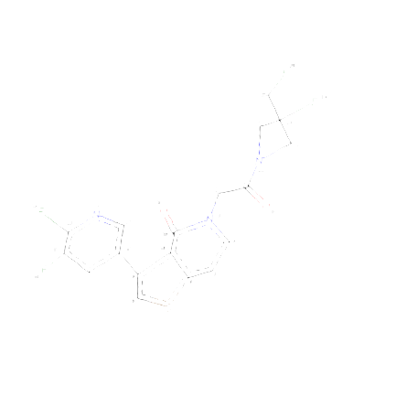 O=C(Cn1ccc2scc(-c3cnc(F)c(F)c3)c2c1=O)N1CC(F)(CF)C1